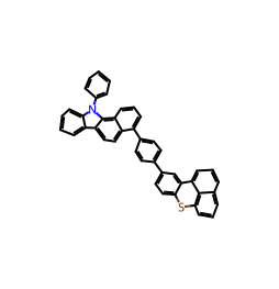 c1ccc(-n2c3ccccc3c3ccc4c(-c5ccc(-c6ccc7c(c6)-c6cccc8cccc(c68)S7)cc5)cccc4c32)cc1